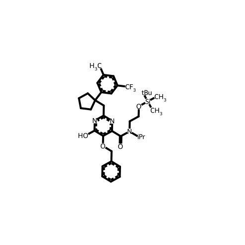 Cc1cc(C(F)(F)F)cc(C2(Cc3nc(O)c(OCc4ccccc4)c(C(=O)N(CCO[Si](C)(C)C(C)(C)C)C(C)C)n3)CCCC2)c1